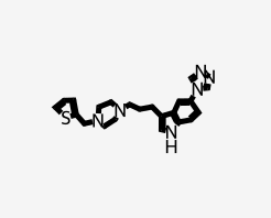 c1csc(CN2CCN(CCCc3c[nH]c4ccc(-n5cnnc5)cc34)CC2)c1